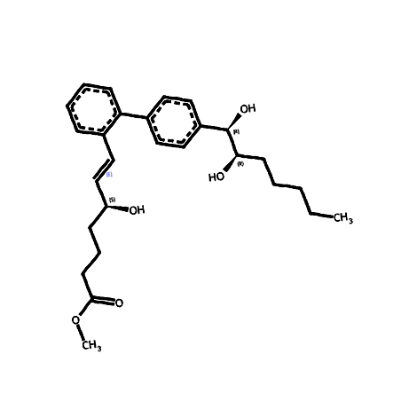 CCCCC[C@@H](O)[C@H](O)c1ccc(-c2ccccc2/C=C/[C@@H](O)CCCC(=O)OC)cc1